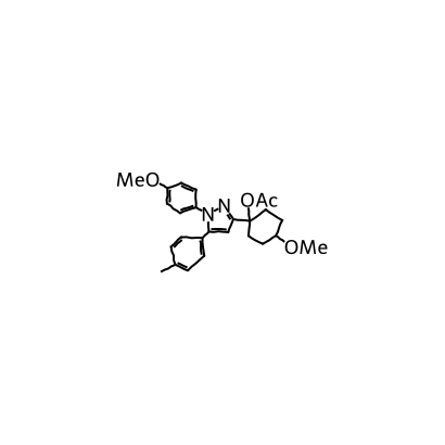 COc1ccc(-n2nc(C3(OC(C)=O)CCC(OC)CC3)cc2-c2ccc(C)cc2)cc1